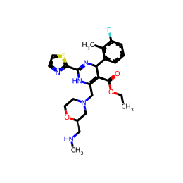 CCOC(=O)C1=C(CN2CCO[C@H](CNC)C2)NC(c2nccs2)=NC1c1cccc(F)c1C